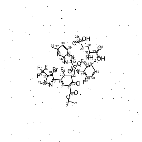 CC(C)OC(=O)c1cc(-c2nn(C)c(C(F)(F)F)c2Br)c(F)cc1Cl.CP(=O)(O)CCC(N)C(=O)O.Cc1ccn2nc(S(=O)(=O)Nc3c(F)cccc3F)nc2n1